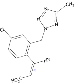 CCC/C(=C/C(=O)O)c1ccc(Cl)cc1Cn1nnc(C)n1